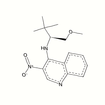 COC[C@@H](Nc1c([N+](=O)[O-])cnc2ccccc12)C(C)(C)C